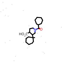 CC1(C2CN(C(=O)C3CCCCCC3)CCC2C(=O)O)CCCCCC1